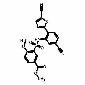 COC(=O)c1ccc(OC)c(S(=O)(=O)Nc2cc(C#N)ccc2-c2ccc(C#N)s2)c1